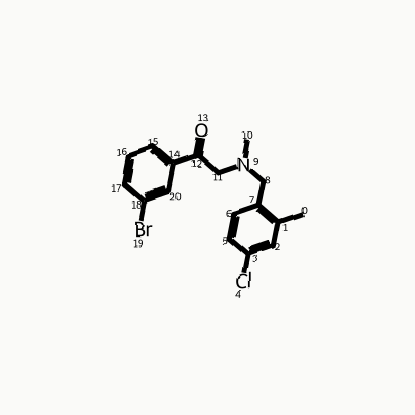 Cc1cc(Cl)ccc1CN(C)CC(=O)c1cccc(Br)c1